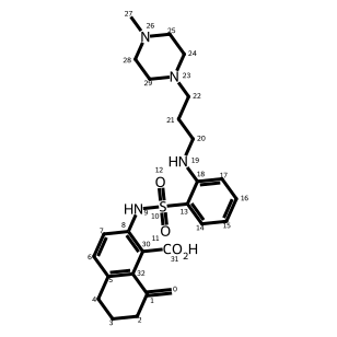 C=C1CCCc2ccc(NS(=O)(=O)c3ccccc3NCCCN3CCN(C)CC3)c(C(=O)O)c21